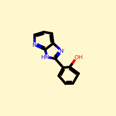 Oc1ccccc1-c1nc2cccnc2[nH]1